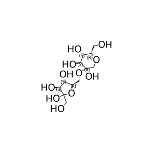 OC[C@H]1OC[C@@](O)(OC[C@H]2OC(O)(CO)[C@@H](O)[C@@H]2O)[C@@H](O)[C@@H]1O